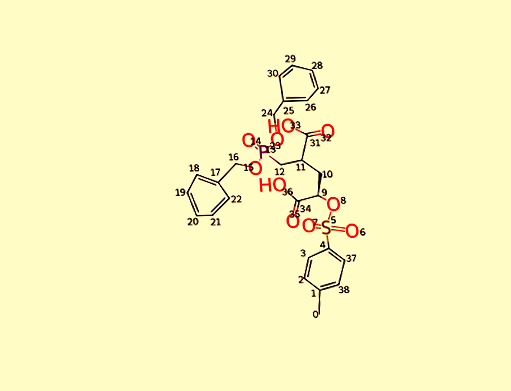 Cc1ccc(S(=O)(=O)O[C@H](CC(CP(=O)(OCc2ccccc2)OCc2ccccc2)C(=O)O)C(=O)O)cc1